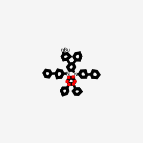 CCCCc1ccc(-c2cc(N(c3ccc(-c4ccccc4)cc3)c3ccc(-c4ccccc4)cc3)c(N(c3ccc(-c4ccccc4)cc3)c3ccc(-c4ccccc4)cc3)cc2-c2ccccc2)cc1